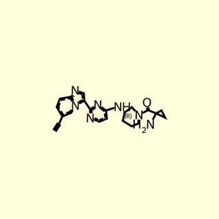 C#Cc1ccc2ncc(-c3nccc(N[C@@H]4CCCN(C(=O)C5(N)CC5)C4)n3)n2c1